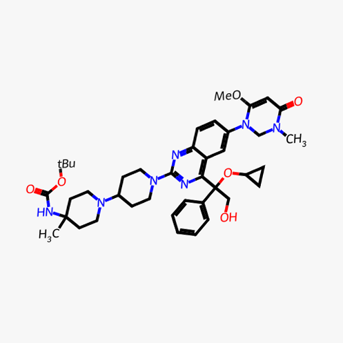 COC1=CC(=O)N(C)CN1c1ccc2nc(N3CCC(N4CCC(C)(NC(=O)OC(C)(C)C)CC4)CC3)nc(C(CO)(OC3CC3)c3ccccc3)c2c1